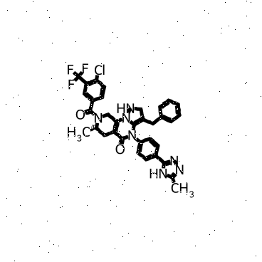 Cc1nnc(-c2ccc(N3C(=O)C4=C(CN(C(=O)c5ccc(Cl)c(C(F)(F)F)c5)[C@H](C)C4)N4NCC(Cc5ccccc5)=C43)cc2)[nH]1